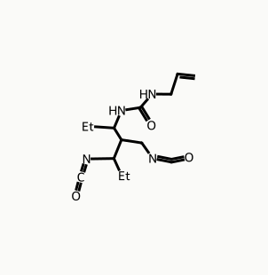 C=CCNC(=O)NC(CC)C(CN=C=O)C(CC)N=C=O